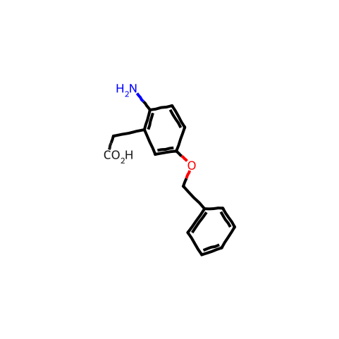 Nc1ccc(OCc2ccccc2)cc1CC(=O)O